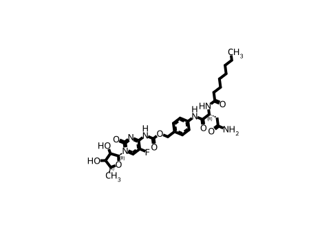 CCCCCCCC(=O)N[C@H](CC(N)=O)C(=O)Nc1ccc(COC(=O)Nc2nc(=O)n([C@@H]3O[C@H](C)C(O)C3O)cc2F)cc1